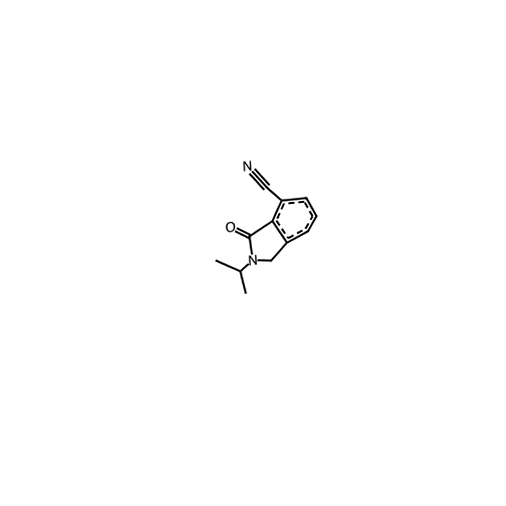 CC(C)N1Cc2cccc(C#N)c2C1=O